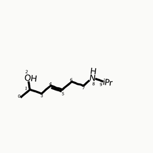 CC(O)C/C=C/CCNC(C)C